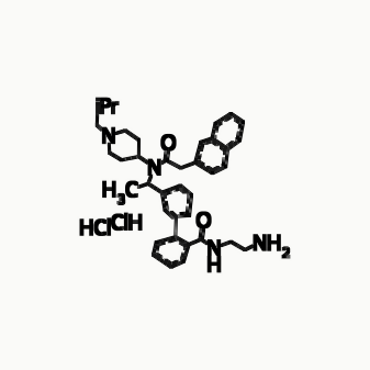 CC(C)CN1CCC(N(C(=O)Cc2ccc3ccccc3c2)C(C)c2cccc(-c3ccccc3C(=O)NCCN)c2)CC1.Cl.Cl